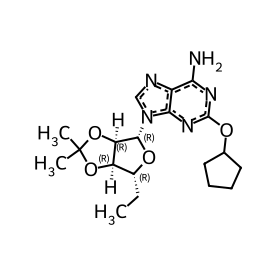 CC[C@H]1O[C@@H](n2cnc3c(N)nc(OC4CCCC4)nc32)[C@@H]2OC(C)(C)O[C@@H]21